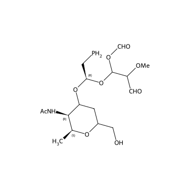 COC(C=O)C(OC=O)O[C@H](CP)OC1CC(CO)O[C@@H](C)[C@H]1NC(C)=O